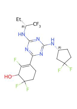 CC[C@@H](Nc1nc(N[C@@H]2CCC(F)(F)C2)nc(C2=C(F)C(O)C(F)(F)CC2)n1)C(F)(F)F